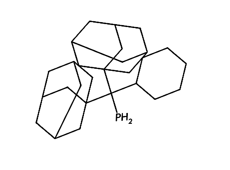 PC(C1CCCCC1)(C12CC3CC(CC(C3)C1)C2)C12CC3CC(CC(C3)C1)C2